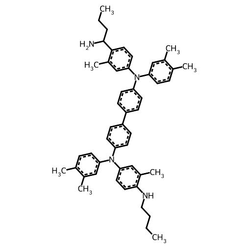 CCCCNc1ccc(N(c2ccc(-c3ccc(N(c4ccc(C)c(C)c4)c4ccc(C(N)CCC)c(C)c4)cc3)cc2)c2ccc(C)c(C)c2)cc1C